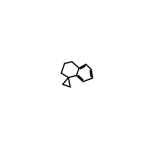 c1ccc2c(c1)CCCC21CC1